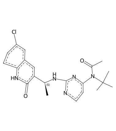 CC(=O)N(c1ccnc(N[C@@H](C)c2cc3cc(Cl)ccc3[nH]c2=O)n1)C(C)(C)C